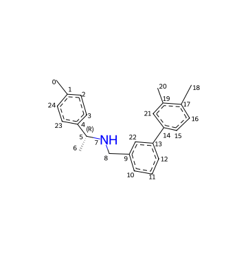 Cc1ccc([C@@H](C)NCc2cccc(-c3ccc(C)c(C)c3)c2)cc1